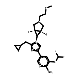 COCCN1C[C@@H]2C(n3cc(-c4cnc(N)c(OC(F)F)c4)nc3CC3CC3)[C@@H]2C1